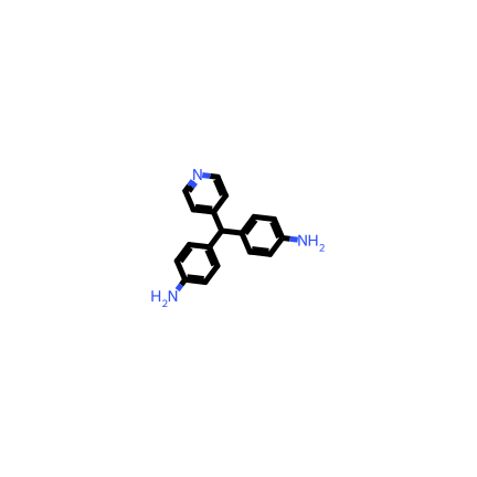 Nc1ccc(C(c2ccncc2)c2ccc(N)cc2)cc1